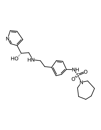 O=S(=O)(Nc1ccc(CCNC[C@H](O)c2cccnc2)cc1)N1CCCCCC1